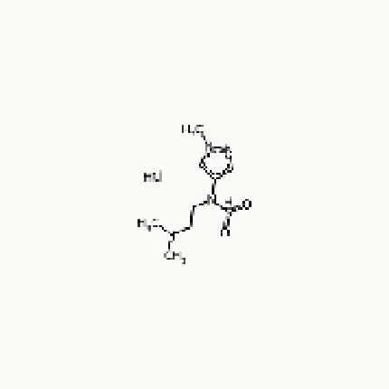 CN(C)CCN(c1cnn(C)c1)[SH](=O)=O.Cl